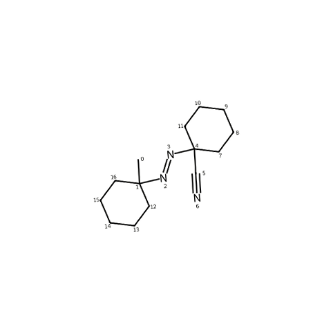 CC1(/N=N/C2(C#N)CCCCC2)CCCCC1